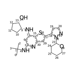 CC(C)(C)Nc1cc(N[C@@H]2CCC[C@@H]2O)c2sc(-c3ccnn3C3CCCCO3)cc2n1